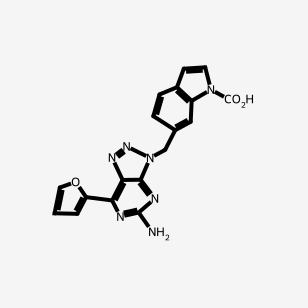 Nc1nc(-c2ccco2)c2nnn(Cc3ccc4ccn(C(=O)O)c4c3)c2n1